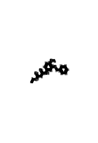 CCOC(=O)CC(=O)Nc1ccc(OC)c(OCc2ccccc2)c1